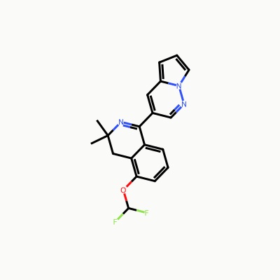 CC1(C)Cc2c(OC(F)F)cccc2C(c2cnn3cccc3c2)=N1